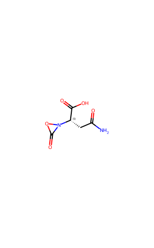 NC(=O)C[C@@H](C(=O)O)N1OC1=O